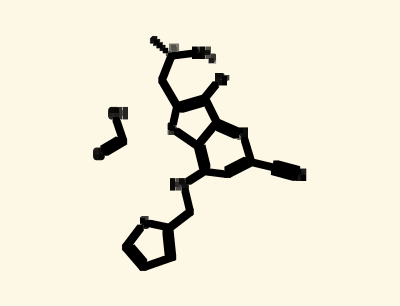 C[C@H](N)Cc1sc2c(NCc3cccs3)cc(C#N)nc2c1Br.O=CO